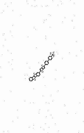 FC(F)(F)c1ccc(-c2ccc(-c3cc4sc(-c5ccc6c(c5)sc5c7ccccc7sc65)cc4s3)cc2)cc1